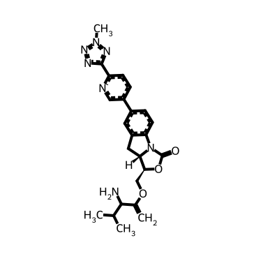 C=C(OC[C@@H]1OC(=O)N2c3ccc(-c4ccc(-c5nnn(C)n5)nc4)cc3C[C@@H]12)C(N)C(C)C